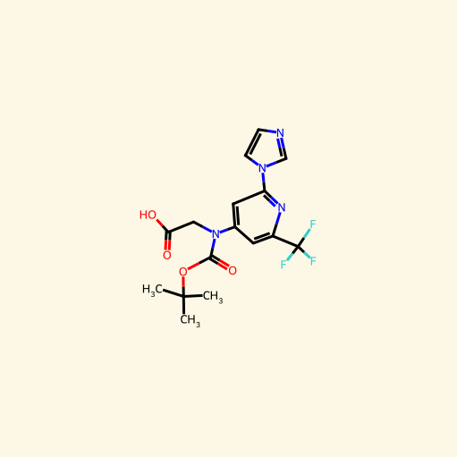 CC(C)(C)OC(=O)N(CC(=O)O)c1cc(-n2ccnc2)nc(C(F)(F)F)c1